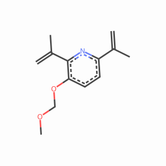 C=C(C)c1ccc(OCOC)c(C(=C)C)n1